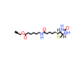 C#CCOC(=O)CCCCCNC(=O)CCCC[C@@H]1SC[C@@H]2NC(=O)N[C@@H]21